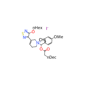 CCCCCCCCCCCC(=O)OC(c1ccc(OC)cc1)[N+]1(C)CCC=C(c2nsnc2OCCCCCC)C1.[I-]